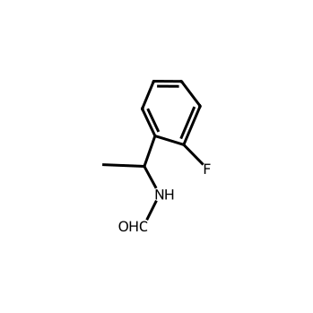 CC(NC=O)c1ccccc1F